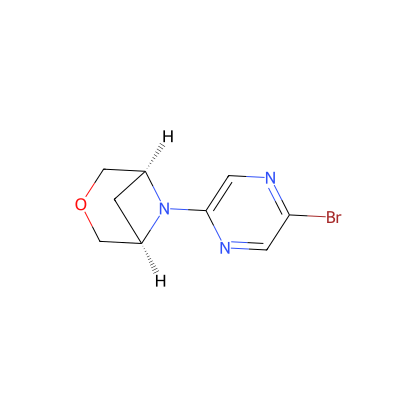 Brc1cnc(N2[C@@H]3COC[C@H]2C3)cn1